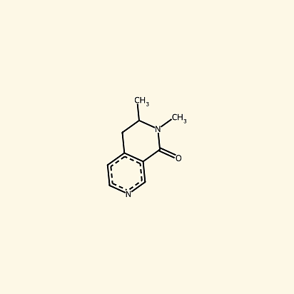 CC1Cc2ccncc2C(=O)N1C